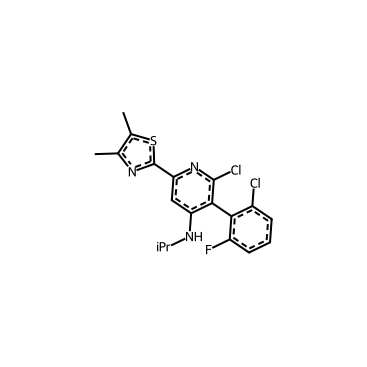 Cc1nc(-c2cc(NC(C)C)c(-c3c(F)cccc3Cl)c(Cl)n2)sc1C